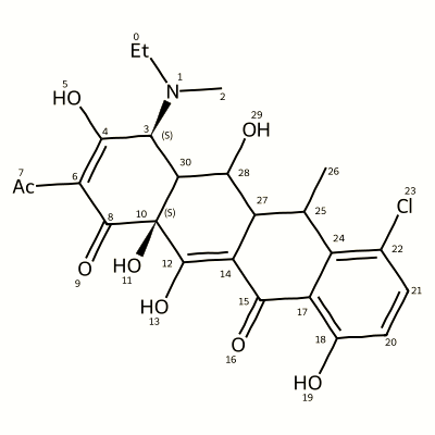 CCN(C)[C@@H]1C(O)=C(C(C)=O)C(=O)[C@@]2(O)C(O)=C3C(=O)c4c(O)ccc(Cl)c4C(C)C3C(O)C12